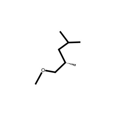 COC[C@@H](C)CC(C)C